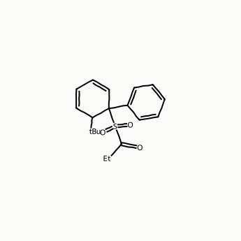 CCC(=O)S(=O)(=O)C1(c2ccccc2)C=CC=CC1C(C)(C)C